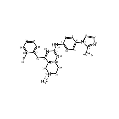 Cc1nccn1-c1ccc(Nc2nc3c(c(Cc4ccccc4F)n2)CN(C)CC3)cc1